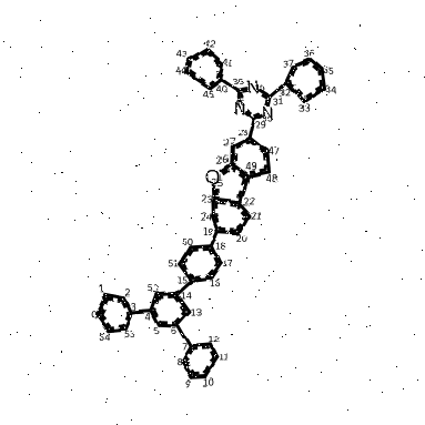 c1ccc(-c2cc(-c3ccccc3)cc(-c3ccc(-c4ccc5c(c4)oc4cc(-c6nc(-c7ccccc7)nc(-c7ccccc7)n6)ccc45)cc3)c2)cc1